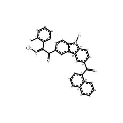 CCn1c2ccc(C(=O)/C(=N/OC(C)=O)c3ccccc3C)cc2c2cc(C(=O)c3cccc4ccccc34)ccc21